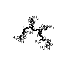 Cc1cn([C@H]2CC(CC(F)(F)CC[C@H]3O[C@@H](n4cnc5c(N)ncnc54)CC3CC(F)(F)CC[C@H]3O[C@@H](n4ccc(N)nc4=O)CC3CC(F)(F)CC[C@H]3O[C@@H](n4cnc5c(=O)[nH]c(N)nc54)CC3CC(F)(F)F)[C@@H](CO)O2)c(=O)[nH]c1=O